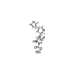 CC(C)(C)OC(=O)N1C[C@@H]2C[C@H]1CN2c1cncc(-c2ccsc2)c1